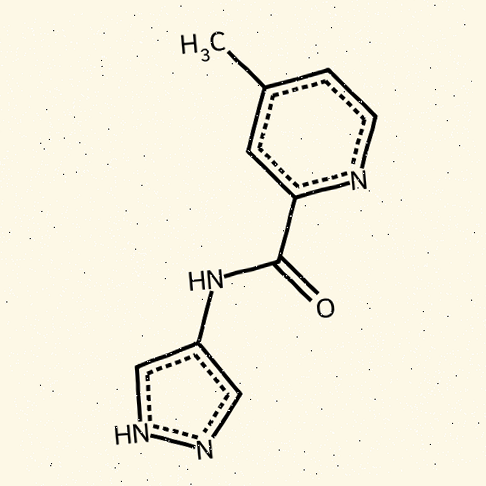 Cc1ccnc(C(=O)Nc2cn[nH]c2)c1